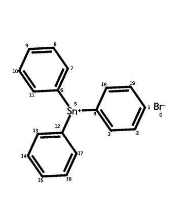 [Br-].c1cc[c]([Sn+]([c]2ccccc2)[c]2ccccc2)cc1